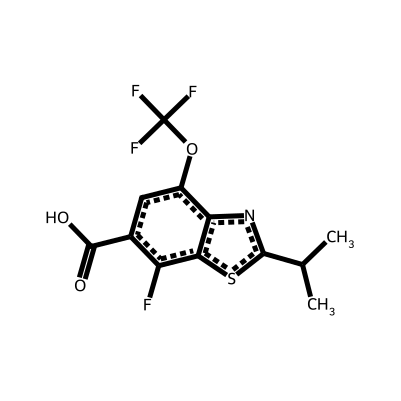 CC(C)c1nc2c(OC(F)(F)F)cc(C(=O)O)c(F)c2s1